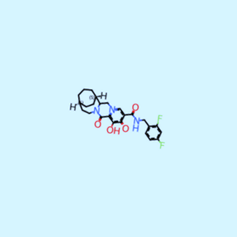 O=C(NCc1ccc(F)cc1F)c1cn2c(c(O)c1=O)C(=O)N1CC[C@H]3CCC[C@@H](CC3)C1C2